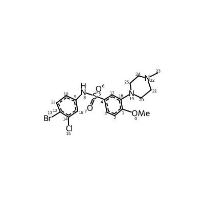 COc1ccc(S(=O)(=O)Nc2ccc(Br)c(Cl)c2)cc1N1CCN(C)CC1